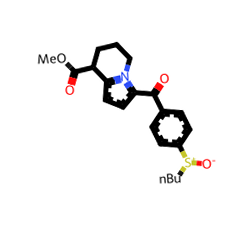 CCCC[S+]([O-])c1ccc(C(=O)c2ccc3n2CCCC3C(=O)OC)cc1